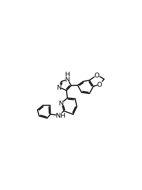 c1ccc(Nc2cccc(-c3nc[nH]c3-c3ccc4c(c3)OCO4)n2)cc1